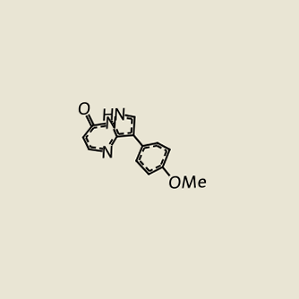 COc1ccc(-c2c[nH]n3c(=O)ccnc23)cc1